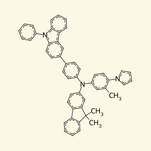 Cc1cc(N(c2ccc(-c3ccc4c(c3)c3ccccc3n4-c3ccccc3)cc2)c2ccc3c(c2)C(C)(C)c2ccccc2-3)ccc1-n1cccc1